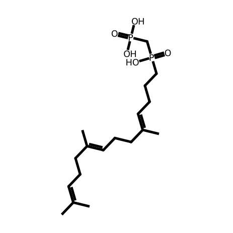 CC(C)=CCCC(C)=CCCC(C)=CCCCP(=O)(O)CP(=O)(O)O